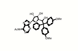 COc1ccc(C(c2ccccc2)(c2ccc(OC)cc2)C(O)[C@H]2O[C@@H](n3cnc4c(NC(C)=O)ncnc43)[C@H](O)[C@@H]2O)cc1